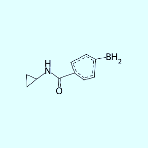 Bc1ccc(C(=O)NC2CC2)cc1